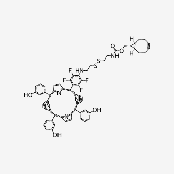 O=C(NCCSSCCNc1c(F)c(F)c(-c2c3nc(c(-c4cccc(O)c4)c4ccc([nH]4)c(-c4cccc(O)c4)c4nc(c(-c5cccc(O)c5)c5ccc2[nH]5)C=C4)C=C3)c(F)c1F)OC[C@@H]1[C@@H]2CCC#CCC[C@@H]21